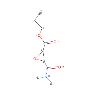 CC(C)CCOC(=O)C1OC1C(=O)N(C)C